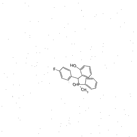 CP(=O)(c1ccccc1)C(c1ccc(F)cc1)c1ccccc1O